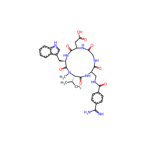 CC(C)[C@H]1C(=O)NC(CNC(=O)c2ccc(C(=N)N)cc2)C(=O)NCC(=O)NC(CC(=O)O)C(=O)N[C@H](Cc2c[nH]c3ccccc23)C(=O)N1C